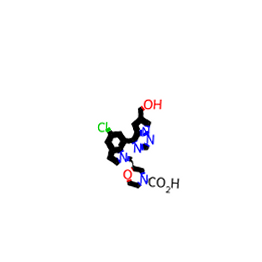 O=C(O)N1CCO[C@H](Cn2ccc3cc(Cl)cc(-c4ncnn5cc(CO)cc45)c32)C1